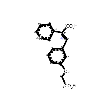 CCOC(=O)COc1cccc(/C=C(/C(=O)O)c2cccnc2)c1